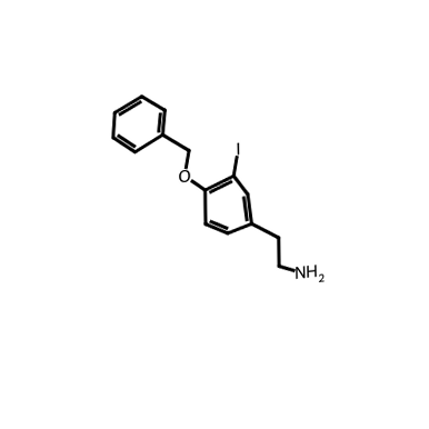 NCCc1ccc(OCc2ccccc2)c(I)c1